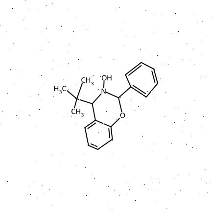 CC(C)(C)C1c2ccccc2OC(c2ccccc2)N1O